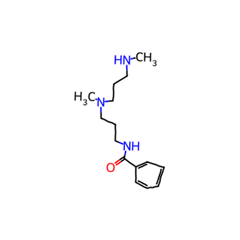 CNCCCN(C)CCCNC(=O)c1ccccc1